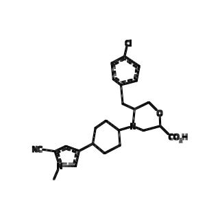 Cn1cc(C2CCC(N3CC(C(=O)O)OCC3Cc3ccc(Cl)cc3)CC2)cc1C#N